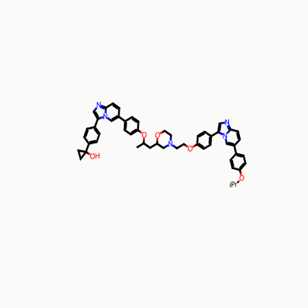 CC(C)Oc1ccc(-c2ccc3ncc(-c4ccc(OCCN5CCOC(CC(C)Oc6ccc(-c7ccc8ncc(-c9ccc(C%10(O)CC%10)cc9)n8c7)cc6)C5)cc4)n3c2)cc1